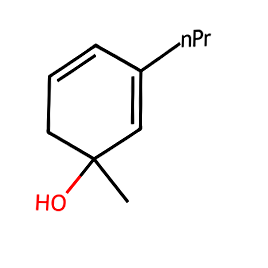 CCCC1=CC(C)(O)CC=C1